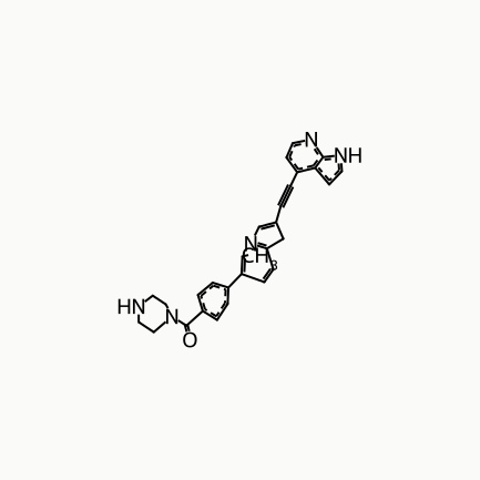 C/C=C(\C=C/C1=NC=C(C#Cc2ccnc3[nH]ccc23)C1)c1ccc(C(=O)N2CCNCC2)cc1